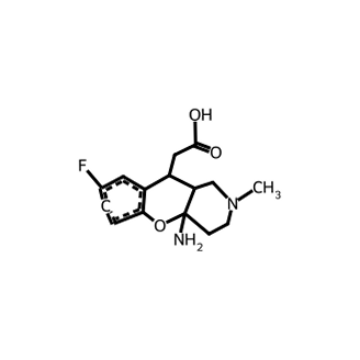 CN1CCC2(N)Oc3ccc(F)cc3C(CC(=O)O)C2C1